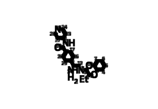 CCC(Oc1ccccc1)C(=O)NCC(N)c1ccc(C(=O)Nc2ccncc2)cc1